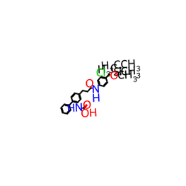 CC(C)(C)[Si](C)(C)OCc1ccc(NC(=O)CCc2ccc(-c3ccccc3)c(NC(=O)O)c2)cc1Cl